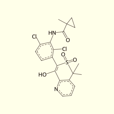 CC1(C(=O)Nc2c(Cl)ccc(C3=C(O)c4ncccc4C(C)(C)S3(=O)=O)c2Cl)CC1